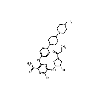 C=CC(=O)N1C[C@H](Nc2nc(Nc3ccc(N4CCC(N5CCN(C)CC5)CC4)cc3)c(C(N)=O)nc2CC)[C@@H](O)C1